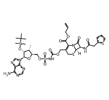 C=CCOC(=O)C1=C(COC(=O)NS(=O)(=O)OC[C@H]2O[C@@H](n3cnc4c(N)ncnc43)[C@H](O[Si](C)(C)C(C)(C)C)[C@@H]2C)CS[C@@H]2[C@H](NC(=O)Cc3cccs3)C(=O)N12